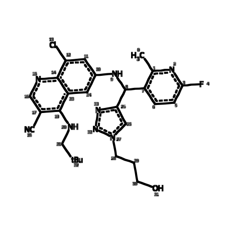 Cc1nc(F)ccc1C(Nc1cc(Cl)c2ncc(C#N)c(NCC(C)(C)C)c2c1)c1cn(CCCO)nn1